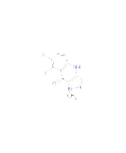 Cn1ncc2[nH]c3ccc(F)c(F)c3c(=O)c21